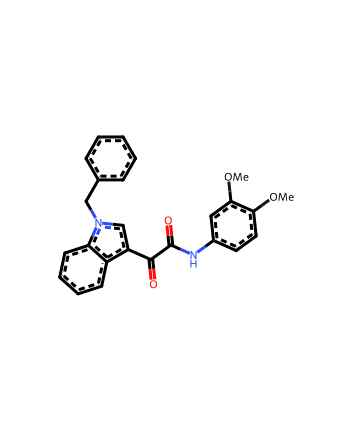 COc1ccc(NC(=O)C(=O)c2cn(Cc3ccccc3)c3ccccc23)cc1OC